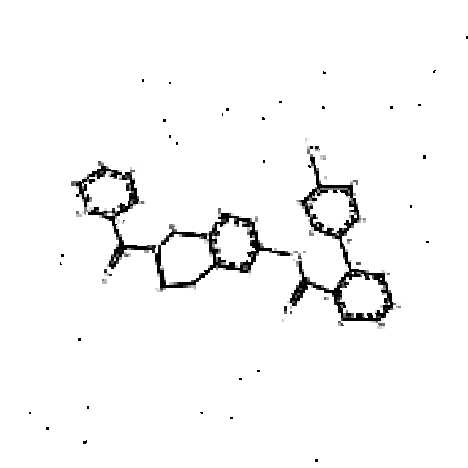 O=C(Oc1ccc2c(c1)CCN(C(=O)c1ccccn1)C2)c1ccccc1-c1ccc(C(F)(F)F)cc1